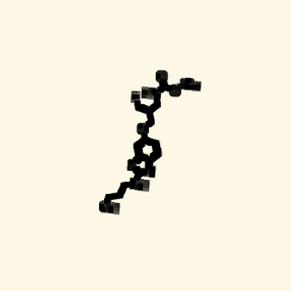 CC(C)(C)OC(=O)NCC(=CF)COc1ccc2nc(NCCCO)sc2c1